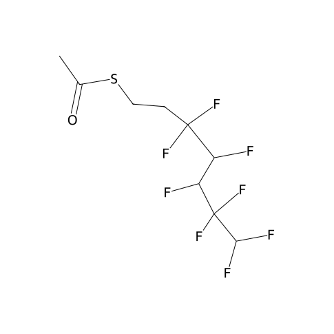 CC(=O)SCCC(F)(F)C(F)C(F)C(F)(F)C(F)F